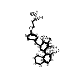 CCC(C)NCCOc1ccc(Cc2cc(-c3c(O)ccc4c3CCCC4)c(N)c(F)c2OC)cc1